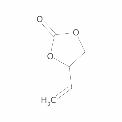 C=CC1COC(=O)O1